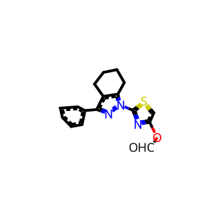 O=COc1csc(-n2nc(-c3ccccc3)c3c2CCCC3)n1